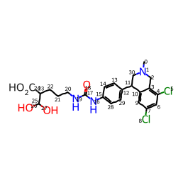 CN1Cc2c(Cl)cc(Cl)cc2C(c2ccc(NC(=O)NCCCC(C(=O)O)C(O)O)cc2)C1